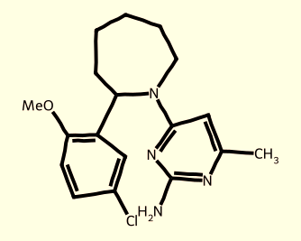 COc1ccc(Cl)cc1C1CCCCCN1c1cc(C)nc(N)n1